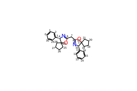 c1ccc([C@H]2N=C(CC3=N[C@H](c4ccccc4)C4(CCCC4)O3)OC23CCCC3)cc1